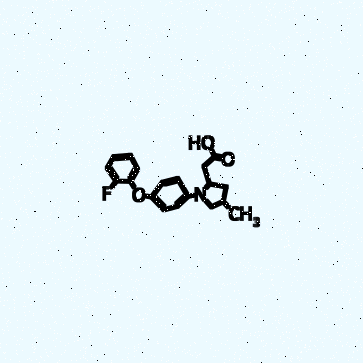 CC1CC(CC(=O)O)N(c2ccc(Oc3ccccc3F)cc2)C1